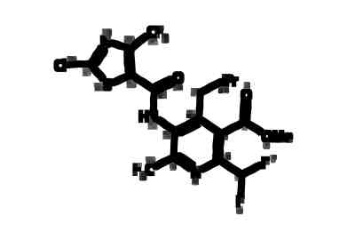 COC(=O)c1c(C(F)F)nc(C(F)(F)F)c(NC(=O)c2sc(Cl)nc2C(F)(F)F)c1CC(C)C